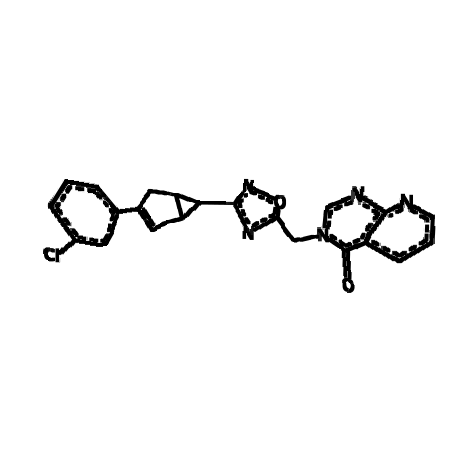 O=c1c2cccnc2ncn1Cc1nc(C2C3C=C(c4cccc(Cl)c4)CC32)no1